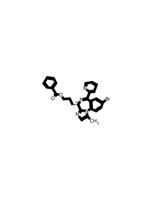 Cc1cnc2n1-c1ccc(Br)cc1C(c1ccccn1)=N[C@H]2CCCOC(=O)c1ccccc1